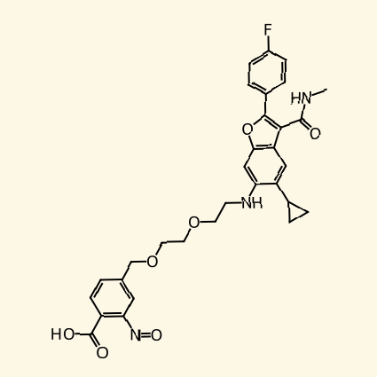 CNC(=O)c1c(-c2ccc(F)cc2)oc2cc(NCCOCCOCc3ccc(C(=O)O)c(N=O)c3)c(C3CC3)cc12